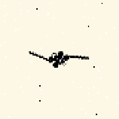 CCCCCCCCCCCCc1ccc(/C(C=O)=c2\c3ccccc3n3c(=O)c(-c4ccc(CCCCCCCCCCCC)cc4)c4c5ccccc5n(C)c4c23)cc1